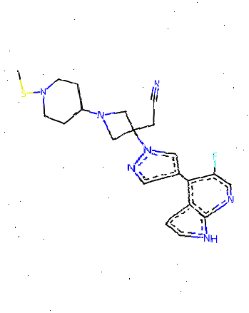 CSN1CCC(N2CC(CC#N)(n3cc(-c4c(F)cnc5[nH]ccc45)cn3)C2)CC1